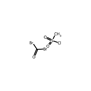 CS(=O)(=O)Cl.O=C(Br)Br